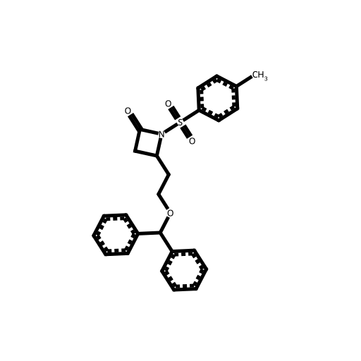 Cc1ccc(S(=O)(=O)N2C(=O)CC2CCOC(c2ccccc2)c2ccccc2)cc1